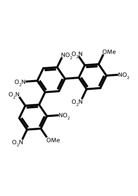 COc1c([N+](=O)[O-])cc([N+](=O)[O-])c(-c2cc(-c3c([N+](=O)[O-])cc([N+](=O)[O-])c(OC)c3[N+](=O)[O-])c([N+](=O)[O-])cc2[N+](=O)[O-])c1[N+](=O)[O-]